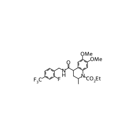 CCOC(=O)N1c2cc(OC)c(OC)cc2C(C(=O)NCc2ccc(C(F)(F)F)cc2F)CC1C